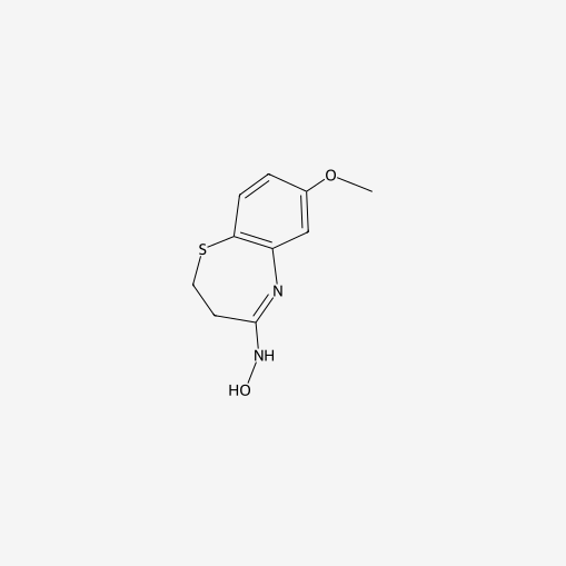 COc1ccc2c(c1)N=C(NO)CCS2